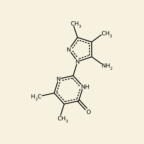 Cc1nn(-c2nc(C)c(C)c(=O)[nH]2)c(N)c1C